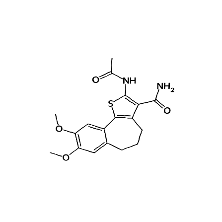 COc1cc2c(cc1OC)-c1sc(NC(C)=O)c(C(N)=O)c1CCC2